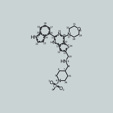 CS(=O)(=O)N1CCC(CNCc2cc3nc(-c4cccc5[nH]ccc45)nc(N4CCOCC4)c3s2)CC1